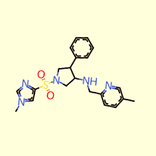 Cc1ccc(CNC2CN(S(=O)(=O)c3cn(C)cn3)CC2c2ccccc2)nc1